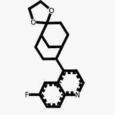 Fc1ccc2nccc(C3CCC4CC3CCC43OCCO3)c2c1